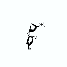 Cl.NC1CC(Oc2ccc(Br)cc2)C1